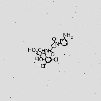 CCC(C(=O)O)C(NC(=O)C1CC(=O)N(c2cccc(N)c2)C1)c1cc(Cl)cc(Cl)c1O